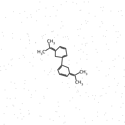 CC(C)=C1C=CC=C(C2=CC=CC(=C(C)C)C2)C1